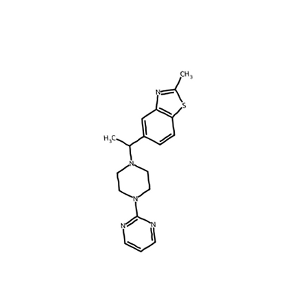 Cc1nc2cc(C(C)N3CCN(c4ncccn4)CC3)ccc2s1